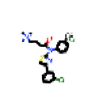 C[N+](C)(C)CCCC(=O)N(c1cccc(C(F)(F)F)c1)c1nc(-c2cccc(Cl)c2)cs1.[Cl-]